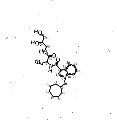 CC(C)(C)C(NC(=O)c1nn(CC2CCCCCC2)c2ccccc12)C(=O)NCC(O)CO